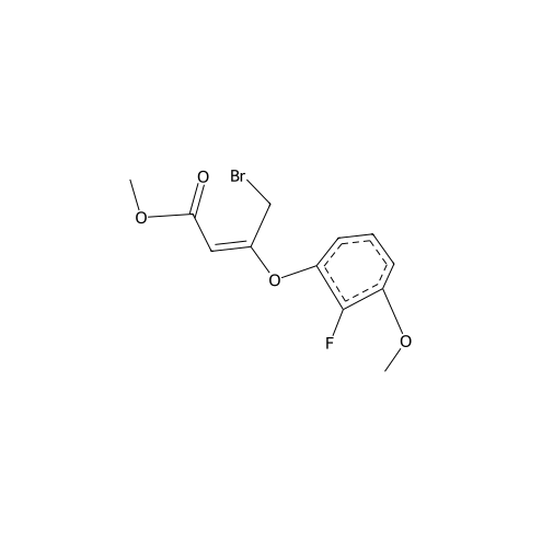 COC(=O)C=C(CBr)Oc1cccc(OC)c1F